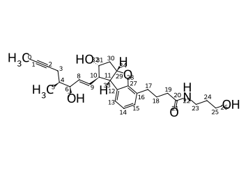 CC#CC[C@H](C)[C@H](O)/C=C/[C@@H]1[C@H]2c3cccc(CCCC(=O)NCCCO)c3O[C@H]2C[C@H]1O